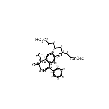 CCCCCCCCCCCCCCCCCC(=O)O.CN1C(=O)CN=C(c2ccccc2)c2cc(Cl)ccc21